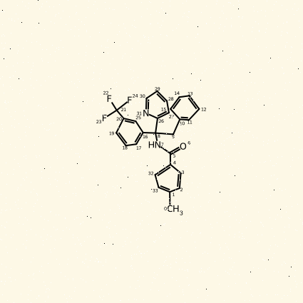 Cc1ccc(C(=O)NC(Cc2ccccc2)(c2cccc(C(F)(F)F)c2)c2ccccn2)cc1